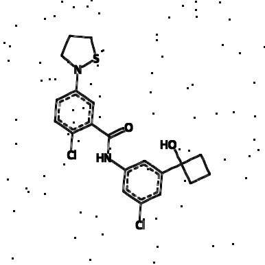 O=C(Nc1cc(Cl)cc(C2(O)CCC2)c1)c1cc(N2CCCS2)ccc1Cl